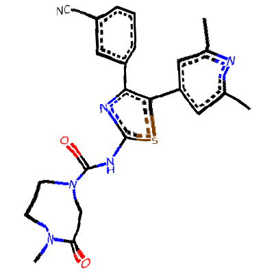 Cc1cc(-c2sc(NC(=O)N3CCN(C)C(=O)C3)nc2-c2cccc(C#N)c2)cc(C)n1